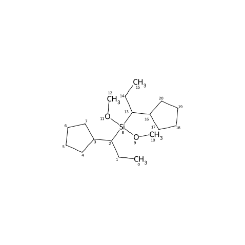 CCC(C1CCCC1)[Si](OC)(OC)C(CC)C1CCCC1